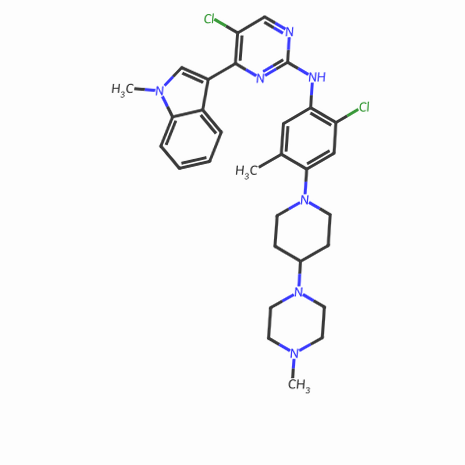 Cc1cc(Nc2ncc(Cl)c(-c3cn(C)c4ccccc34)n2)c(Cl)cc1N1CCC(N2CCN(C)CC2)CC1